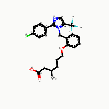 CC(CCCOc1ccccc1Cn1c(C(F)(F)F)cnc1-c1ccc(Cl)cc1)CC(=O)O